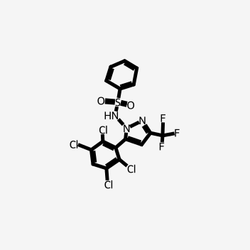 O=S(=O)(Nn1nc(C(F)(F)F)cc1-c1c(Cl)c(Cl)cc(Cl)c1Cl)c1ccccc1